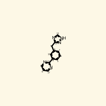 c1cnc(-c2cccc(Cc3nc[nH]n3)c2)nc1